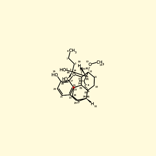 CCC[C@@](C)(O)[C@H]1CC[C@@]23CC[C@]1(OC)[C@@H]1Oc4c(O)ccc5c4[C@@]12CCC[C@@H]3C5